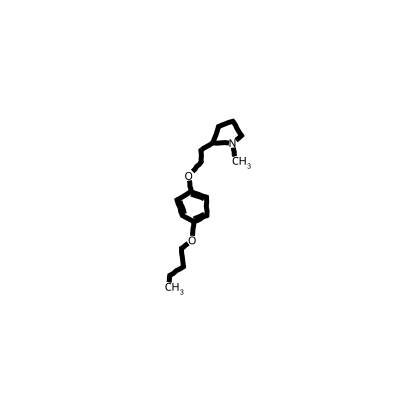 CCCCOc1ccc(OCCC2CCCN2C)cc1